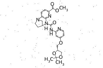 COC(=O)c1ccc2c(n1)N(C(=O)Nc1cc(OC[C@H]3COC(C)(C)O3)ccn1)[C@H]1CCN2C1